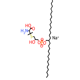 CCCCCCCCCCCCCCCCC(CCCCCCCCCCCCCC)COP(=O)([O-])OCC(O)CSC(C)(C)C(N)C(=O)O.[Na+]